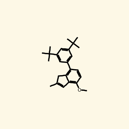 COc1ccc(-c2cc(C(C)(C)C)cc(C(C)(C)C)c2)c2c1C=C(C)C2